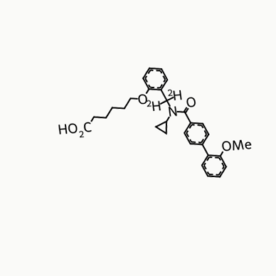 [2H]C([2H])(c1ccccc1OCCCCCC(=O)O)N(C(=O)c1ccc(-c2ccccc2OC)cc1)C1CC1